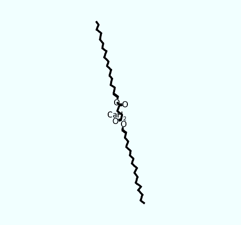 CCCCCCCCCCCCCCCCC=COC(=O)CCC(=O)OC=CCCCCCCCCCCCCCCCC.[CaH2]